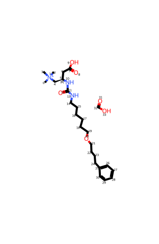 C[N+](C)(C)C[C@@H](CC(=O)O)NC(=O)NCCCCCCOCCCCc1ccccc1.O=CO